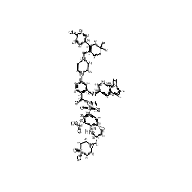 CC1(C)CCC(CN2CCN(c3ccc(C(=O)NS(=O)(=O)c4cc5c(c([N+](=O)[O-])c4)N[C@@H](CN4CCS(=O)(=O)CC4)CO5)c(Oc4cnc5[nH]ccc5c4)c3)CC2)=C(c2ccc(Cl)cc2)C1